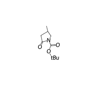 CC1CC(=O)N(C(=O)OC(C)(C)C)C1